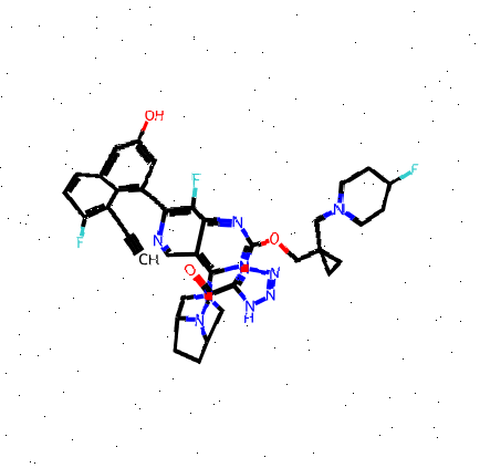 C#Cc1c(F)ccc2cc(O)cc(-c3ncc4c(N5CC6CCC(C5)N6C(=O)c5nnn[nH]5)nc(OCC5(CN6CCC(F)CC6)CC5)nc4c3F)c12